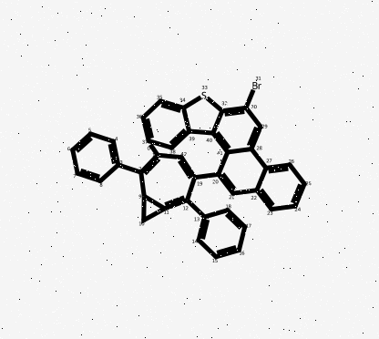 CC1=C(c2ccccc2)C2CC2=C(c2ccccc2)C(c2cc3ccccc3c3cc(Br)c4sc5ccccc5c4c23)=C1